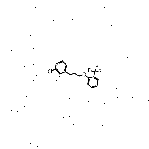 FC(F)(F)c1ccccc1OCCCc1cccc(Cl)c1